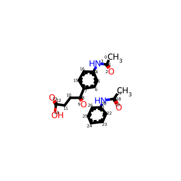 CC(=O)Nc1ccc(C(=O)CCC(=O)O)cc1.CC(=O)Nc1ccccc1